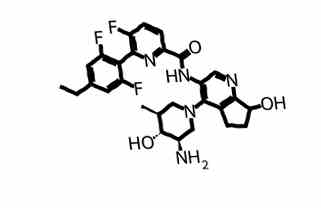 CCc1cc(F)c(-c2nc(C(=O)Nc3cnc4c(c3N3C[C@@H](N)[C@H](O)[C@@H](C)C3)CCC4O)ccc2F)c(F)c1